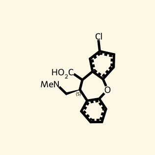 CNC[C@@H]1c2ccccc2Oc2ccc(Cl)cc2C1C(=O)O